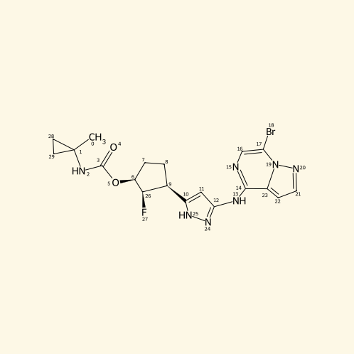 CC1(NC(=O)O[C@H]2CC[C@@H](c3cc(Nc4ncc(Br)n5nccc45)n[nH]3)[C@H]2F)CC1